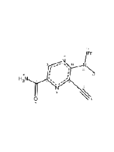 C#Cc1nc(C(N)=O)cnc1N(C)C(C)C